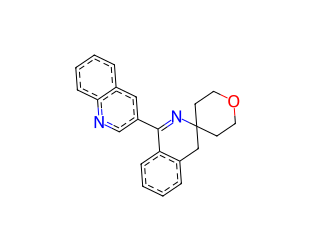 c1ccc2c(c1)CC1(CCOCC1)N=C2c1cnc2ccccc2c1